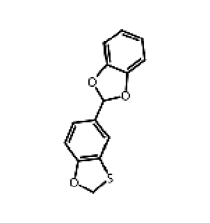 c1ccc2c(c1)OC(c1ccc3c(c1)SCO3)O2